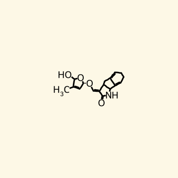 CC1=C[C@@H](OC=C2C(=O)NC3C4=CCCC=C4CC23)OC1O